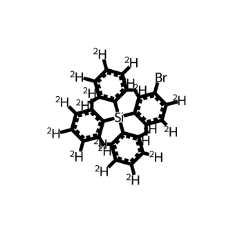 [2H]c1c([2H])c([2H])c([Si](c2c([2H])c([2H])c([2H])c([2H])c2[2H])(c2c([2H])c([2H])c([2H])c([2H])c2[2H])c2c([2H])c([2H])c([2H])c(Br)c2[2H])c([2H])c1[2H]